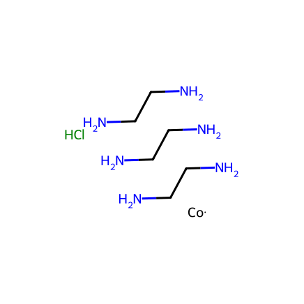 Cl.NCCN.NCCN.NCCN.[Co]